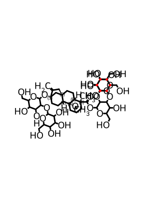 C=C1C[C@@]23CC[C@H]4[C@@](OC)(CCC[C@@]4(C)C(=O)OC4OC(CO)C(O)C(OC5OC(CO)C(O)C(O)C5O)C4OC4OC(CO)C(O)C(O)C4O)[C@@H]2CC[C@]1(OC1OC(CO)C(O)C(O)C1OC1OC(CO)C(O)C(O)C1O)C3